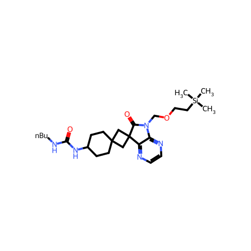 CCCCNC(=O)NC1CCC2(CC1)CC1(C2)C(=O)N(COCC[Si](C)(C)C)c2nccnc21